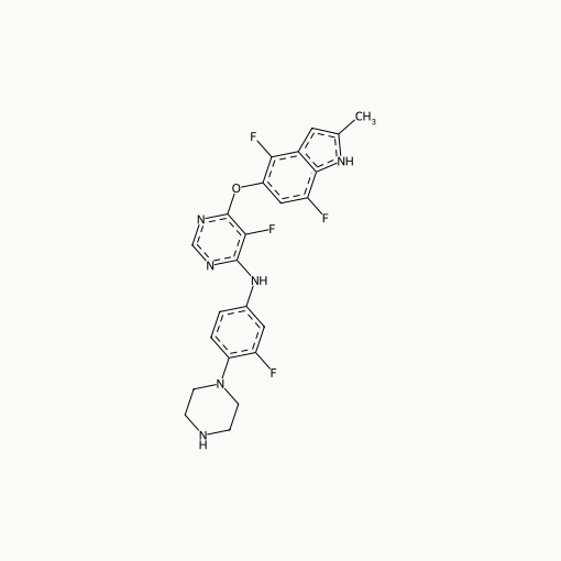 Cc1cc2c(F)c(Oc3ncnc(Nc4ccc(N5CCNCC5)c(F)c4)c3F)cc(F)c2[nH]1